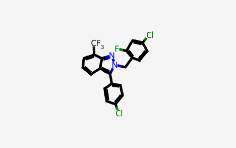 Fc1cc(Cl)ccc1Cn1nc2c(C(F)(F)F)cccc2c1-c1ccc(Cl)cc1